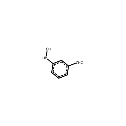 O=Cc1cccc(PO)c1